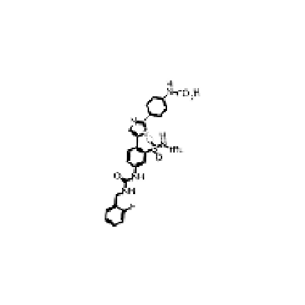 CC(C)(C)NS(=O)(=O)c1cc(NC(=O)NCc2ccccc2F)ccc1-c1cnc([C@H]2CC[C@H](NC(=O)O)CC2)s1